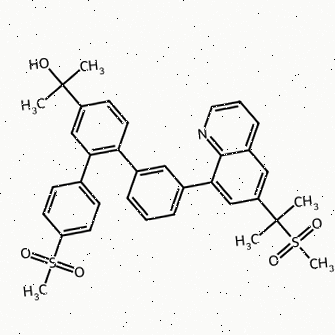 CC(C)(O)c1ccc(-c2cccc(-c3cc(C(C)(C)S(C)(=O)=O)cc4cccnc34)c2)c(-c2ccc(S(C)(=O)=O)cc2)c1